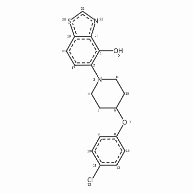 Oc1c(N2CCC(Oc3ccc(Cl)cc3)CC2)ccc2scnc12